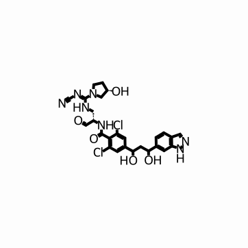 N#C/N=C(\NC[C@@H](C=O)NC(=O)c1c(Cl)cc(C(O)CC(O)c2ccc3cn[nH]c3c2)cc1Cl)N1CC[C@H](O)C1